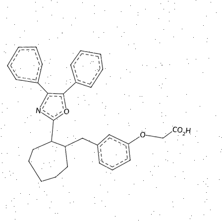 O=C(O)COc1cccc(CC2CCCCCC2c2nc(-c3ccccc3)c(-c3ccccc3)o2)c1